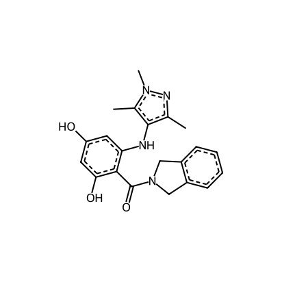 Cc1nn(C)c(C)c1Nc1cc(O)cc(O)c1C(=O)N1Cc2ccccc2C1